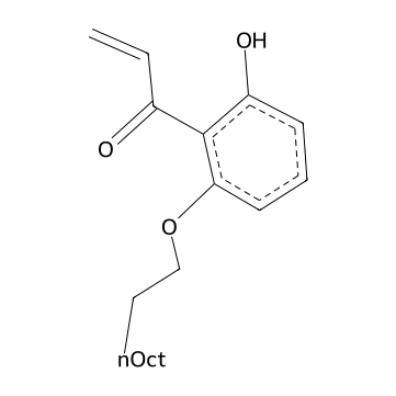 C=CC(=O)c1c(O)cccc1OCCCCCCCCCC